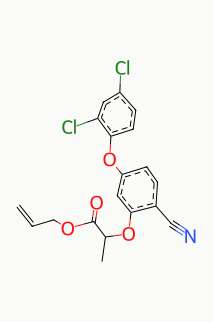 C=CCOC(=O)C(C)Oc1cc(Oc2ccc(Cl)cc2Cl)ccc1C#N